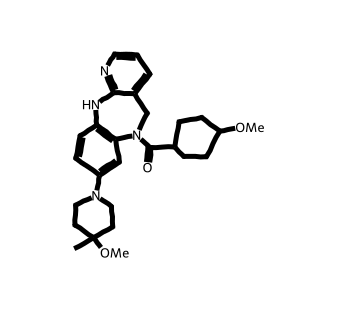 COC1CCC(C(=O)N2Cc3cccnc3Nc3ccc(N4CCC(C)(OC)CC4)cc32)CC1